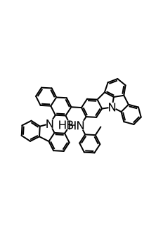 Cc1ccccc1Nc1cc2c(cc1-c1cc3ccccc3c3c1Bc1cccc4c5ccccc5n-3c14)c1cccc3c4ccccc4n2c31